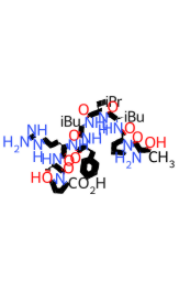 CC[C@H](C)[C@H](NC(=O)[C@H](CC(C)C)NC(=O)[C@@H](NC(=O)[C@@H]1CCCN1C(=O)[C@@H](N)[C@@H](C)O)[C@@H](C)CC)C(=O)N[C@@H](Cc1ccccc1)C(=O)N[C@@H](CCCNC(=N)N)C(=O)N[C@@H](CO)C(=O)N1CCC[C@H]1C(=O)O